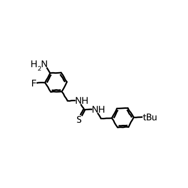 CC(C)(C)c1ccc(CNC(=S)NCc2ccc(N)c(F)c2)cc1